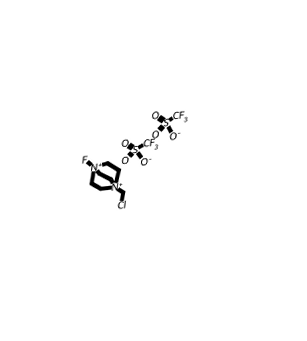 F[N+]12CC[N+](CCl)(CC1)CC2.O=S(=O)([O-])C(F)(F)F.O=S(=O)([O-])C(F)(F)F